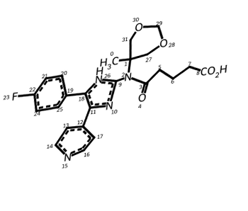 CC1(N(C(=O)CCCC(=O)O)c2nc(-c3ccncc3)c(-c3ccc(F)cc3)[nH]2)COCOC1